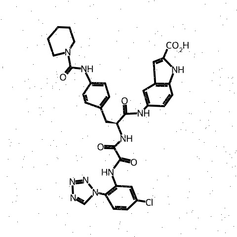 O=C(Nc1cc(Cl)ccc1-n1cnnn1)C(=O)N[C@@H](Cc1ccc(NC(=O)N2CCCCC2)cc1)C(=O)Nc1ccc2[nH]c(C(=O)O)cc2c1